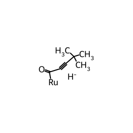 CC(C)(C)C#C[C](=O)[Ru].[H-]